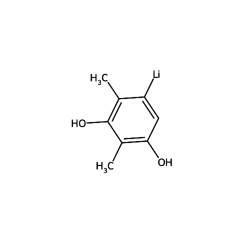 [Li][c]1cc(O)c(C)c(O)c1C